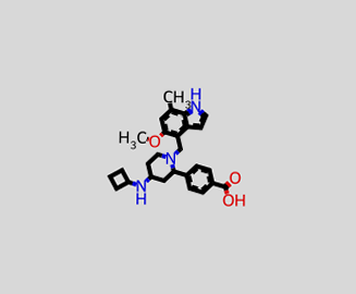 COc1cc(C)c2[nH]ccc2c1CN1CCC(NC2CCC2)CC1c1ccc(C(=O)O)cc1